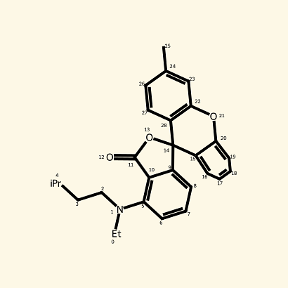 CCN(CCC(C)C)c1cccc2c1C(=O)OC21c2ccccc2Oc2cc(C)ccc21